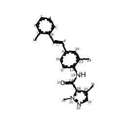 Cc1ccccc1/C=C/c1ccc(NC(=O)c2c(C)cnn2C)c(C)c1